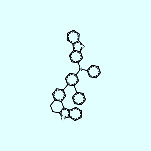 c1ccc(-c2cc(N(c3ccccc3)c3ccc4c(c3)sc3ccccc34)ccc2-c2ccc3c(c2)-c2c(oc4ccccc24)CC3)cc1